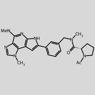 CNc1nc2[nH]c(-c3cccc(CN(C)C(=O)[C@@H]4CCCN4C(C)=O)c3)cc2c2c1ncn2C